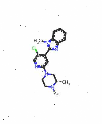 CC(=O)N1CCN(c2cc(-c3nc4ccccc4n3C)c(Cl)cn2)C[C@@H]1C